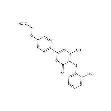 CC(C)c1ccccc1Sc1c(O)cc(-c2ccc(OCC(=O)O)cc2)oc1=O